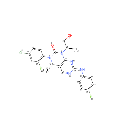 C[C@H](CO)N1C(=O)N(c2ccc(Cl)cc2F)[C@@H](C)c2cnc(Nc3ccc(F)cc3)nc21